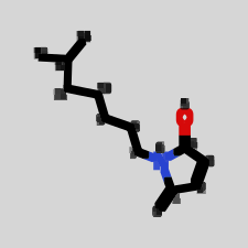 C=C1C=CC(=O)N1CCCCCC(C)C